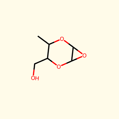 CC1OC2OC2OC1CO